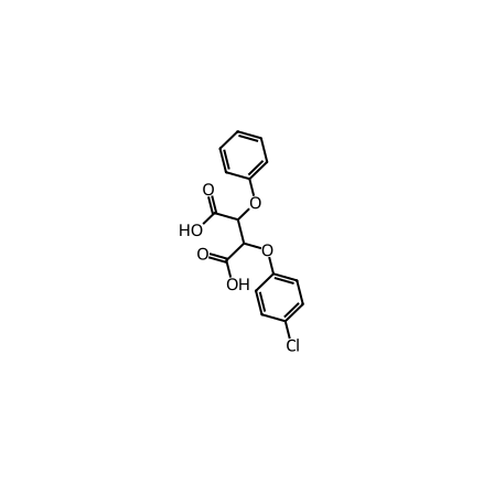 O=C(O)C(Oc1ccccc1)C(Oc1ccc(Cl)cc1)C(=O)O